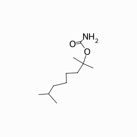 CC(C)CCCCC(C)(C)OC(N)=O